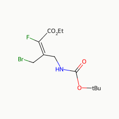 CCOC(=O)/C(F)=C(/CBr)CNC(=O)OC(C)(C)C